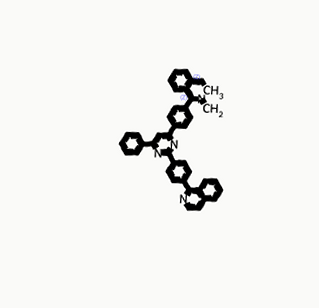 C=N/C(c1ccc(-c2cc(-c3ccccc3)nc(-c3ccc(-c4nccc5ccccc45)cc3)n2)cc1)=c1/cccc/c1=C/C